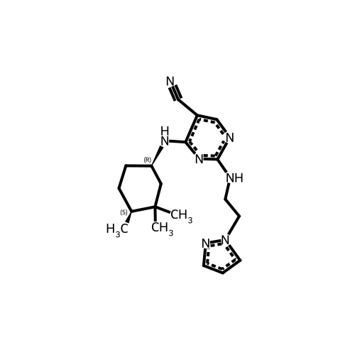 C[C@H]1CC[C@@H](Nc2nc(NCCn3cccn3)ncc2C#N)CC1(C)C